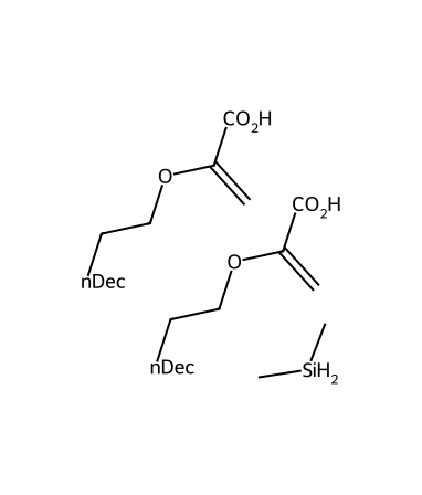 C=C(OCCCCCCCCCCCC)C(=O)O.C=C(OCCCCCCCCCCCC)C(=O)O.C[SiH2]C